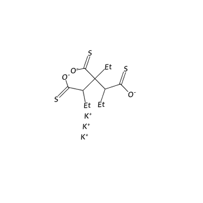 CCC(C([O-])=S)C(CC)(C([O-])=S)C(CC)C([O-])=S.[K+].[K+].[K+]